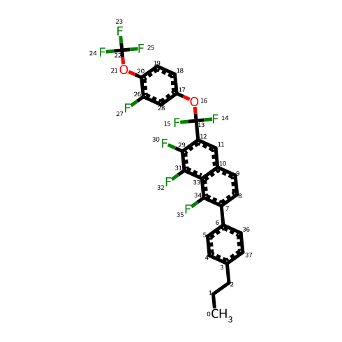 CCCc1ccc(-c2ccc3cc(C(F)(F)Oc4ccc(OC(F)(F)F)c(F)c4)c(F)c(F)c3c2F)cc1